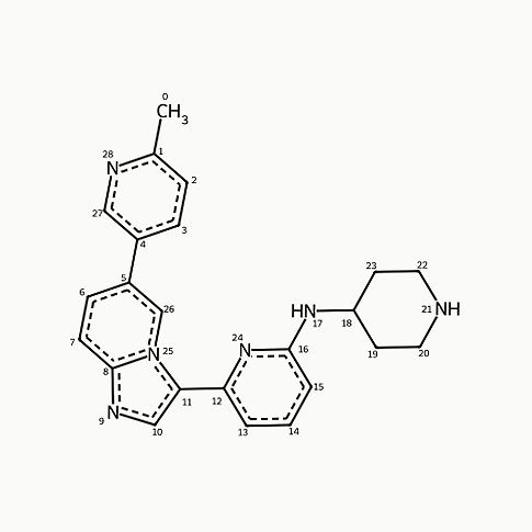 Cc1ccc(-c2ccc3ncc(-c4cccc(NC5CCNCC5)n4)n3c2)cn1